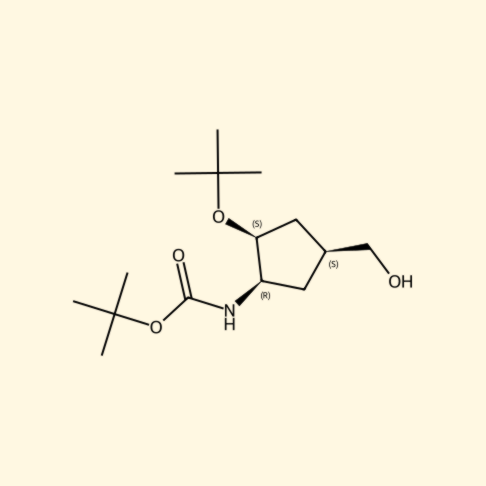 CC(C)(C)OC(=O)N[C@@H]1C[C@H](CO)C[C@@H]1OC(C)(C)C